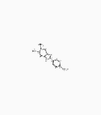 Nc1cc2nc(-c3ccc(C(=O)O)cc3)oc2cc1O